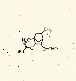 CCC(C)C(=O)OC1C(OC=O)C2CC1(C)CC2C